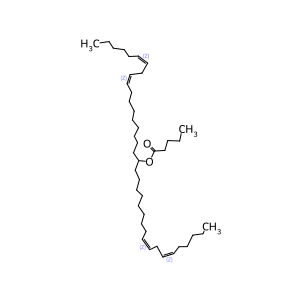 CCCCC/C=C\C/C=C\CCCCCCCCC(CCCCCCCC/C=C\C/C=C\CCCCC)OC(=O)CCCC